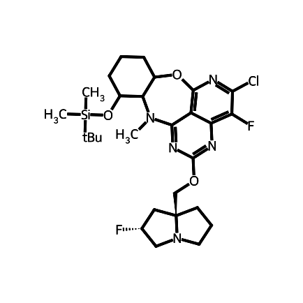 CN1c2nc(OC[C@@]34CCCN3C[C@H](F)C4)nc3c(F)c(Cl)nc(c23)OC2CCCC(O[Si](C)(C)C(C)(C)C)C21